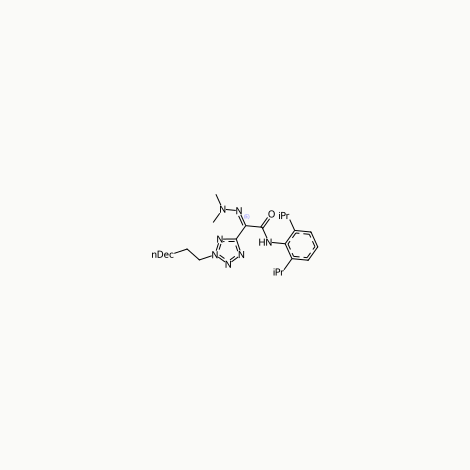 CCCCCCCCCCCCn1nnc(/C(=N\N(C)C)C(=O)Nc2c(C(C)C)cccc2C(C)C)n1